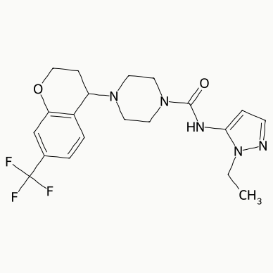 CCn1nccc1NC(=O)N1CCN(C2CCOc3cc(C(F)(F)F)ccc32)CC1